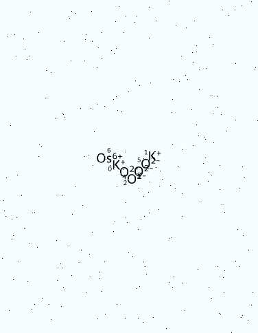 [K+].[K+].[O-2].[O-2].[O-2].[O-2].[Os+6]